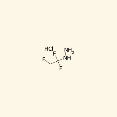 Cl.NNC(F)(F)CF